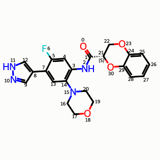 O=C(Nc1cc(F)c(-c2cn[nH]c2)cc1N1CCOCC1)[C@@H]1COc2ccccc2O1